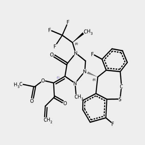 C=CC(=O)/C(OC(C)=O)=C1/C(=O)N([C@H](C)C(F)(F)F)CN([C@H]2c3cccc(F)c3SCc3cccc(F)c32)N1C